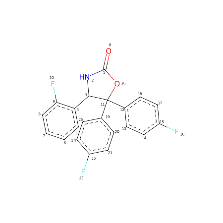 O=C1NC(c2ccccc2F)C(c2ccc(F)cc2)(c2ccc(F)cc2)O1